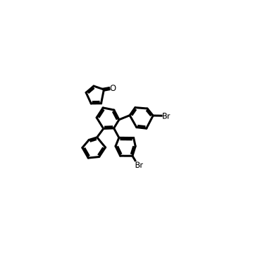 Brc1ccc(-c2cccc(-c3ccccc3)c2-c2ccc(Br)cc2)cc1.O=C1C=CC=C1